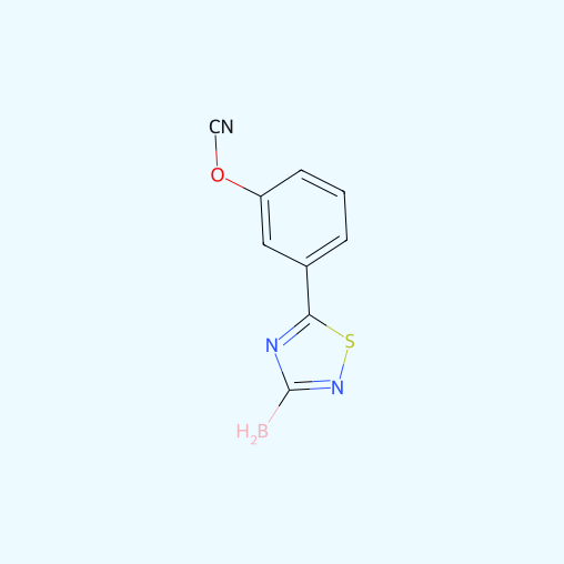 Bc1nsc(-c2cccc(OC#N)c2)n1